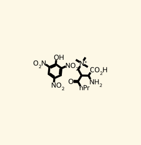 CCCC(=O)C(C[N+](C)(C)C)C(N)C(=O)O.O=[N+]([O-])c1cc([N+](=O)[O-])c(O)c([N+](=O)[O-])c1